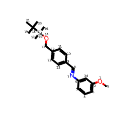 COc1cccc(/N=C/c2ccc(CO[Si](C)(C)C(C)(C)C)cc2)c1